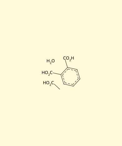 CC(=O)O.O.O=C(O)c1ccccc1C(=O)O